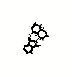 O=C1c2ccccc2C(=O)N1[C@@H]1CCCc2ccccc21